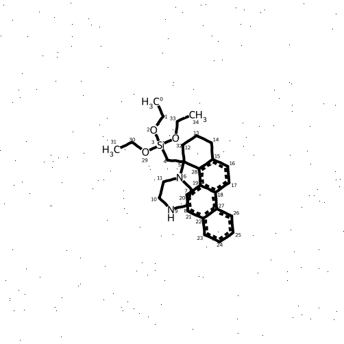 CCO[Si](CC1(N2CCNCC2)CCCc2ccc3c(ccc4ccccc43)c21)(OCC)OCC